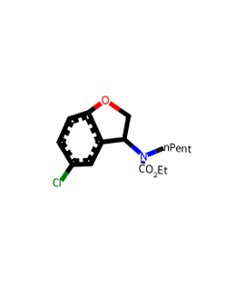 CCCCCN(C(=O)OCC)C1COc2ccc(Cl)cc21